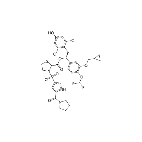 O=C(O[C@@H](Cc1c(Cl)c[n+](O)cc1Cl)c1ccc(OC(F)F)c(OCC2CC2)c1)[C@@H]1SCCN1S(=O)(=O)c1c[nH]c(C(=O)N2CCCC2)c1